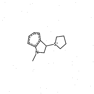 CN1CC([S+]2CCCC2)c2ccccc21